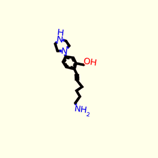 NCCCCC#Cc1ccc(N2CCNCC2)cc1CO